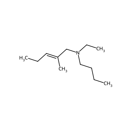 CC/C=C(\C)CN(CC)CCCC